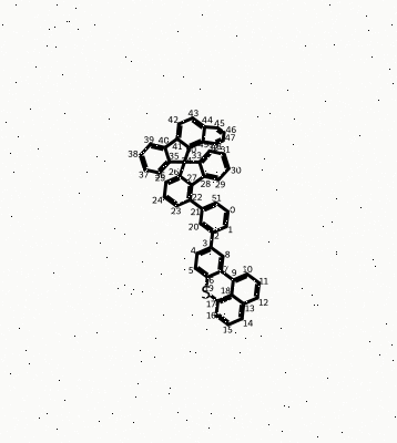 c1cc(-c2ccc3c(c2)-c2cccc4cccc(c24)S3)cc(-c2cccc3c2-c2ccccc2C32c3ccccc3-c3ccc4ccccc4c32)c1